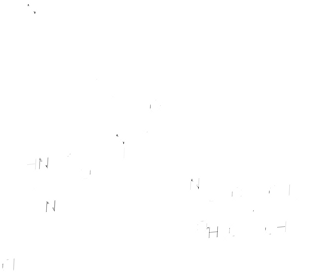 CC(C)(C)OC(=O)N1CCC(C(=O)Nc2ccc(C=CC#N)cc2C(=O)Nc2ccc(Cl)cn2)CC1